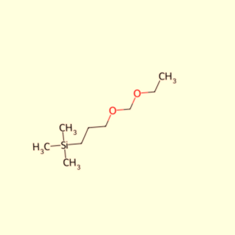 CCOCOCCC[Si](C)(C)C